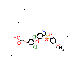 COc1ccc(S(=O)(=O)c2c[nH]c3ccc(Oc4c(Cl)cc(OCC(=O)O)cc4Cl)cc23)cc1